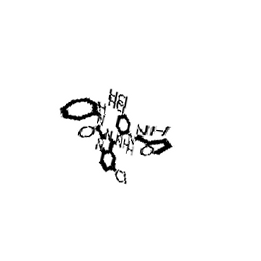 Cl.Cl.N=C(N[C@@H]1CCCC[C@@H]1Nc1nc(C(=O)NC2CCCCCC2)nc2ccc(Cl)cc12)c1ccco1